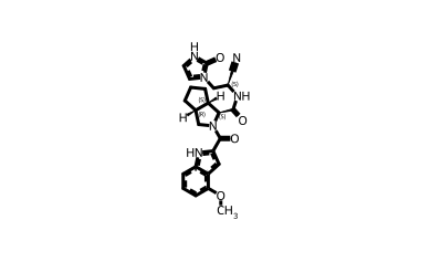 COc1cccc2[nH]c(C(=O)N3C[C@@H]4CCC[C@@H]4[C@H]3C(=O)N[C@H](C#N)Cn3cc[nH]c3=O)cc12